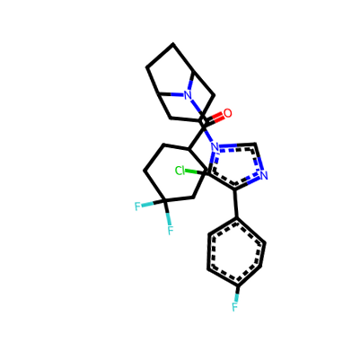 O=C(C1CCC(F)(F)CC1)N1C2CCC1CC(n1cnc(-c3ccc(F)cc3)c1Cl)C2